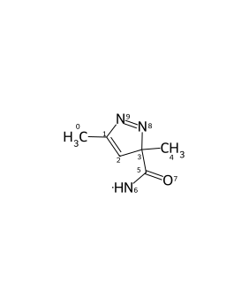 CC1=CC(C)(C([NH])=O)N=N1